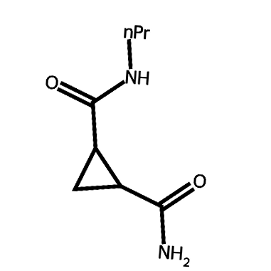 CCCNC(=O)C1CC1C(N)=O